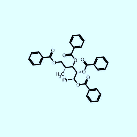 CC(C)[C@H](OC(=O)c1ccccc1)[C@@H](OC(=O)c1ccccc1)[C@H](OC(=O)c1ccccc1)[C@H](C)COC(=O)c1ccccc1